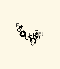 CCS(=O)(=O)NC1CCOCC1COc1ccc(OC(F)F)cc1